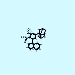 COc1cc(C23CC4CC(CC(C4)C2)C3)cc(-c2cccc3ccccc23)c1C(=O)O